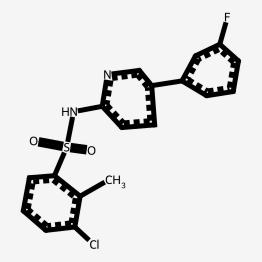 Cc1c(Cl)cccc1S(=O)(=O)Nc1ccc(-c2cccc(F)c2)cn1